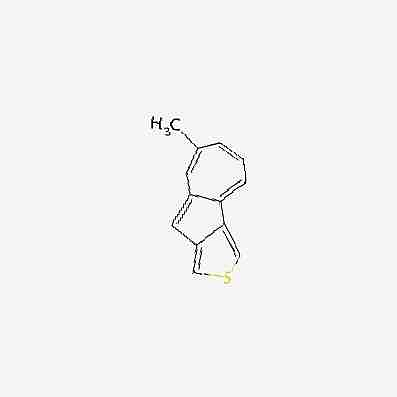 Cc1cccc2c3cscc3cc-2c1